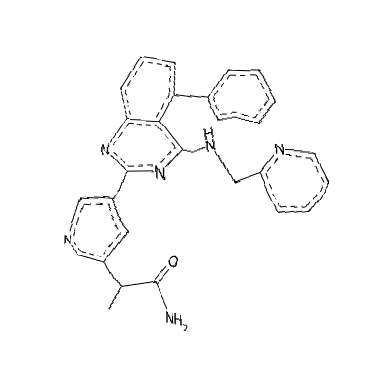 CC(C(N)=O)c1cncc(-c2nc(NCc3ccccn3)c3c(-c4ccccc4)cccc3n2)c1